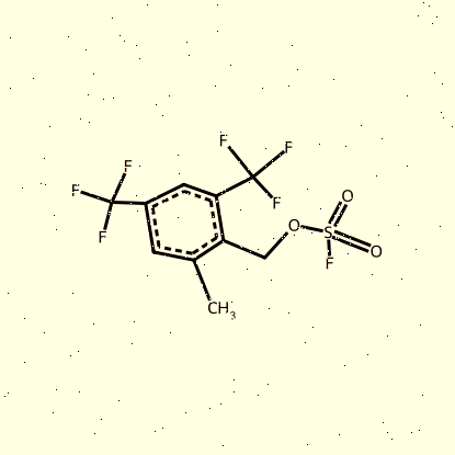 Cc1cc(C(F)(F)F)cc(C(F)(F)F)c1COS(=O)(=O)F